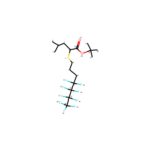 CC(C)CC(SCCCC(F)(F)C(F)(F)C(F)(F)C(F)(F)F)C(=O)OC(C)(C)C